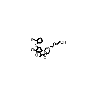 C=C(C(=O)N1CCN(CCOCCO)CC1)c1ccc(Sc2ccccc2C(C)C)c(Cl)c1Cl